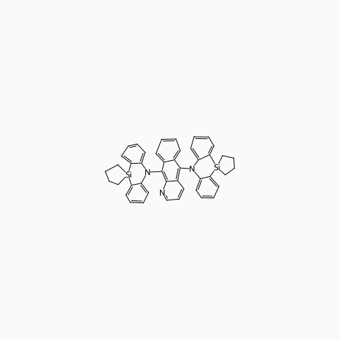 c1ccc2c(c1)N(c1c3ccccc3c(N3c4ccccc4[Si]4(CCCC4)c4ccccc43)c3ncccc13)c1ccccc1[Si]21CCCC1